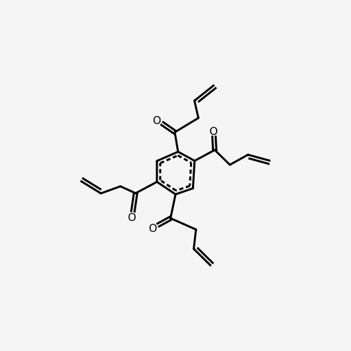 C=CCC(=O)c1cc(C(=O)CC=C)c(C(=O)CC=C)cc1C(=O)CC=C